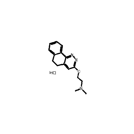 CN(C)CCOc1cc2c(nn1)-c1ccccc1CC2.Cl